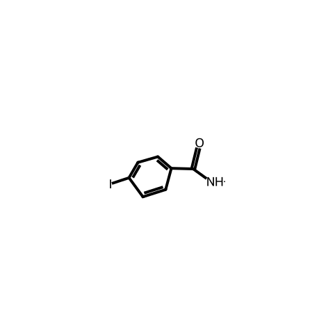 [NH]C(=O)c1ccc(I)cc1